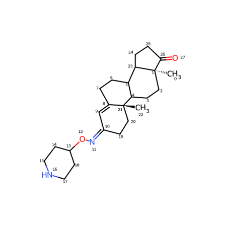 C[C@]12CCC3C(CCC4=CC(=NOC5CCNCC5)CC[C@]43C)C1CCC2=O